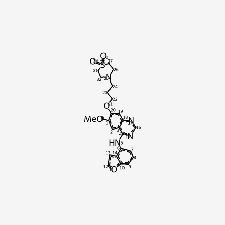 COc1cc2c(Nc3cccc4occc34)ncnc2cc1OCCCN1CCS(=O)(=O)CC1